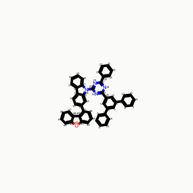 c1ccc(-c2cc(-c3ccccc3)cc(-c3nc(-c4ccccc4)nc(-n4c5ccccc5c5ccc(-c6cccc7oc8ccccc8c67)cc54)n3)c2)cc1